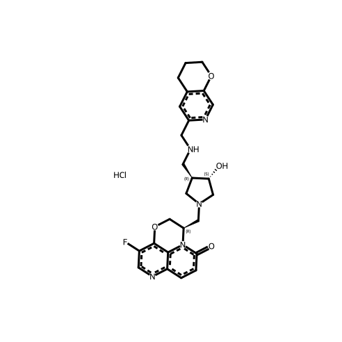 Cl.O=c1ccc2ncc(F)c3c2n1[C@H](CN1C[C@@H](CNCc2cc4c(cn2)OCCC4)[C@H](O)C1)CO3